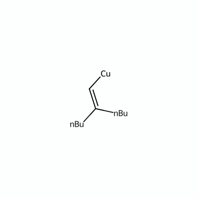 CCCCC(=[CH][Cu])CCCC